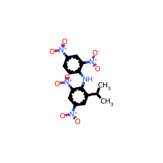 CC(C)c1cc([N+](=O)[O-])cc([N+](=O)[O-])c1Nc1ccc([N+](=O)[O-])cc1[N+](=O)[O-]